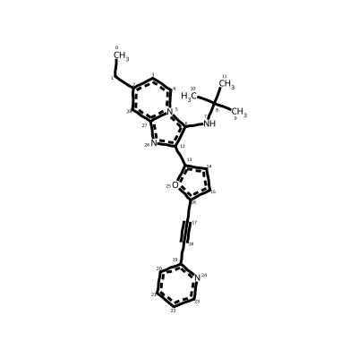 CCc1ccn2c(NC(C)(C)C)c(-c3ccc(C#Cc4ccccn4)o3)nc2c1